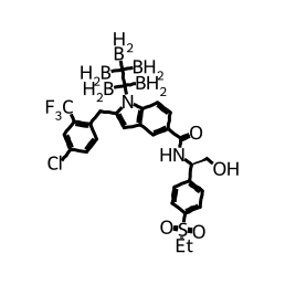 BC(B)(B)C(B)(B)n1c(Cc2ccc(Cl)cc2C(F)(F)F)cc2cc(C(=O)N[C@@H](CO)c3ccc(S(=O)(=O)CC)cc3)ccc21